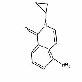 Nc1cccc2c(=O)n(C3CC3)ccc12